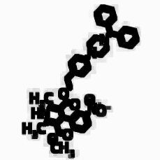 COC(=O)C1=C(C)NC(C)=C(C(=O)OCCc2ccc(N3CCN(C(c4ccccc4)c4ccccc4)CC3)cc2)C1c1cccc([N+](=O)[O-])c1